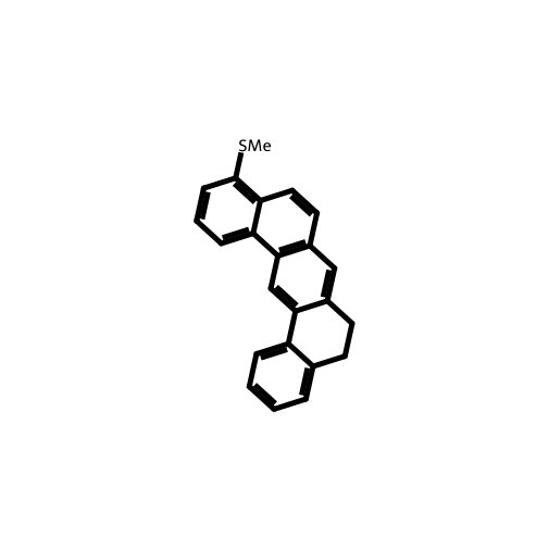 CSc1cccc2c1ccc1cc3c(cc12)-c1ccccc1CC3